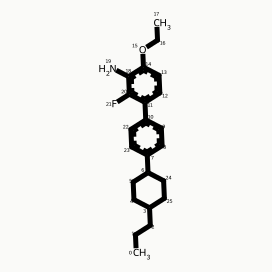 CCCC1CCC(c2ccc(-c3ccc(OCC)c(N)c3F)cc2)CC1